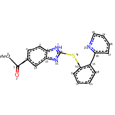 COC(=O)c1ccc2[nH]c(Sc3ccccc3-c3ccccn3)nc2c1